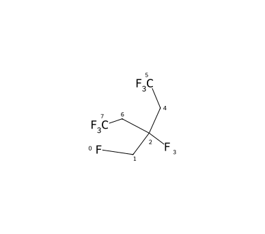 FCC(F)(CC(F)(F)F)CC(F)(F)F